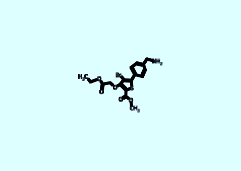 CCOC(=O)COc1c(C(=O)OC)sc(-c2ccc(CN)cc2)c1Br